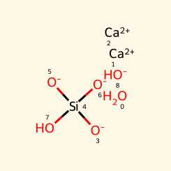 O.[Ca+2].[Ca+2].[O-][Si]([O-])([O-])O.[OH-]